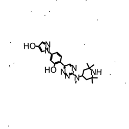 CN(c1ncc(-c2ccc(-n3cc(O)cn3)cc2O)nn1)C1CC(C)(C)NC(C)(C)C1